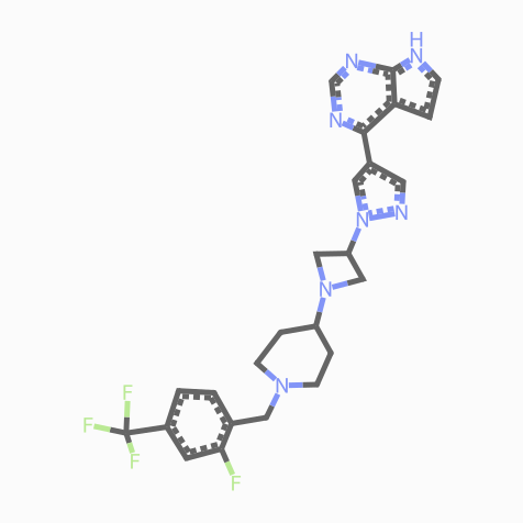 Fc1cc(C(F)(F)F)ccc1CN1CCC(N2CC(n3cc(-c4ncnc5[nH]ccc45)cn3)C2)CC1